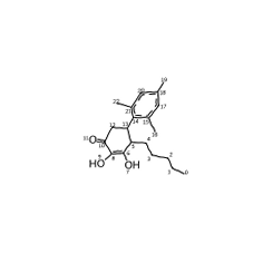 CCCCCC1C(O)=C(O)C(=O)CC1c1c(C)cc(C)cc1C